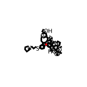 CC[C@]1(O)C[C@H]2CN(CCc3c([nH]c4ccc(SCCCN5CCCCC5)cc34)[C@@](C(=O)OC)(c3cc4c(cc3OC)N(C)[C@H]3[C@@](O)(C(=O)OC)[C@H](OC(C)=O)[C@]5(CC)C=CCN6CC[C@]43[C@@H]65)C2)C1